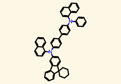 c1ccc(N(c2ccc(-c3ccc(N(c4ccc5c(c4)-c4ccccc4C54CCCCC4)c4cccc5ccccc45)cc3)cc2)c2cccc3ccccc23)cc1